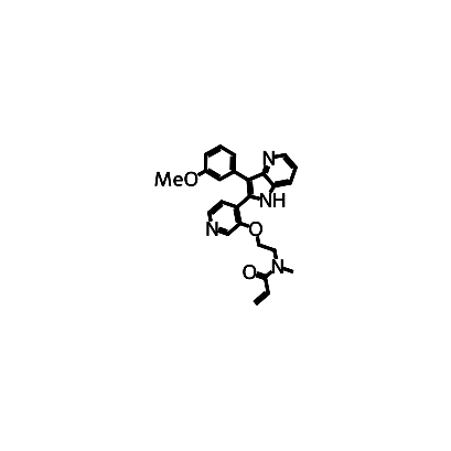 C=CC(=O)N(C)CCOc1cnccc1-c1[nH]c2cccnc2c1-c1cccc(OC)c1